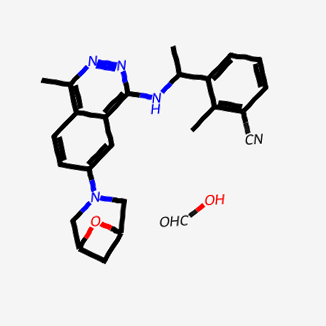 Cc1c(C#N)cccc1C(C)Nc1nnc(C)c2ccc(N3CC4CC(C3)O4)cc12.O=CO